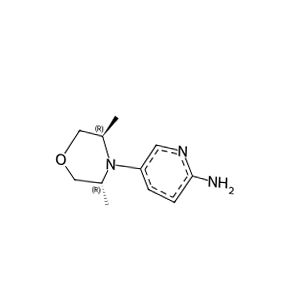 C[C@@H]1COC[C@@H](C)N1c1ccc(N)nc1